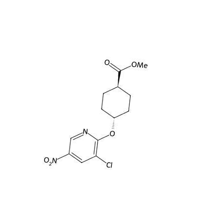 COC(=O)[C@H]1CC[C@H](Oc2ncc([N+](=O)[O-])cc2Cl)CC1